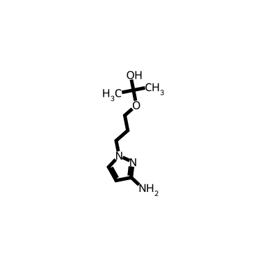 CC(C)(O)OCCCn1ccc(N)n1